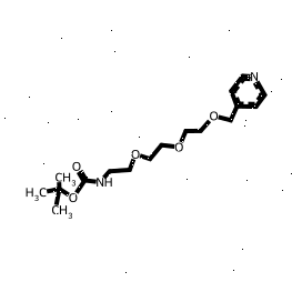 CC(C)(C)OC(=O)NCCOCCOCCOCc1ccncc1